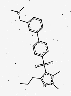 CCCc1nn(C)c(C)c1S(=O)(=O)c1ccc(-c2cccc(CN(C)C)c2)cc1